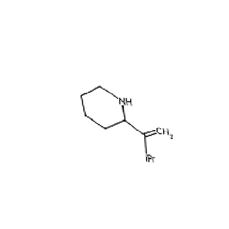 C=C(C(C)C)C1CCCCN1